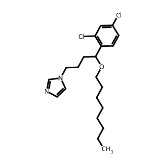 CCCCCCCCOC(CCCn1ccnc1)c1ccc(Cl)cc1Cl